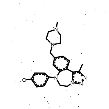 Cc1nnn2c1-c1ccc(CN3CCN(C)CC3)cc1N(c1ccc(Cl)cc1)CC2